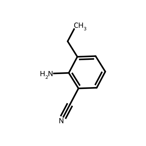 CCc1cccc(C#N)c1N